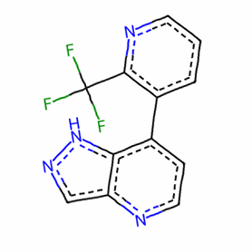 FC(F)(F)c1ncccc1-c1ccnc2cn[nH]c12